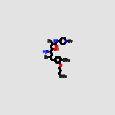 COCCCOc1cc(CC(C[C@H](N)C(O)CC(C(=O)NC2CCN(C(C)C)CC2)C(C)C)C(C)C)ccc1OC